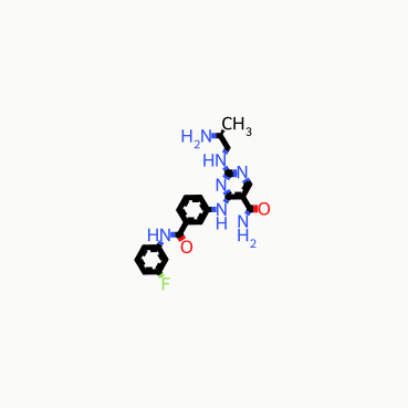 C[C@H](N)CNc1ncc(C(N)=O)c(Nc2cccc(C(=O)Nc3cccc(F)c3)c2)n1